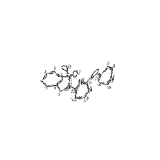 O=S1(=O)c2ccccc2CN1c1ccnc(Oc2ccncc2)n1